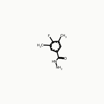 Cc1cc(C(=O)NN)cc(C)c1F